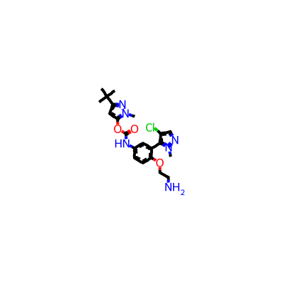 Cn1nc(C(C)(C)C)cc1OC(=O)Nc1ccc(OCCN)c(-c2c(Cl)cnn2C)c1